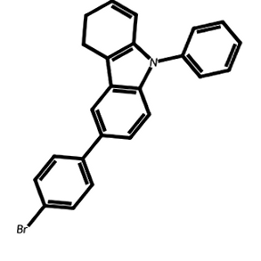 Brc1ccc(-c2ccc3c(c2)c2c(n3-c3ccccc3)C=CCC2)cc1